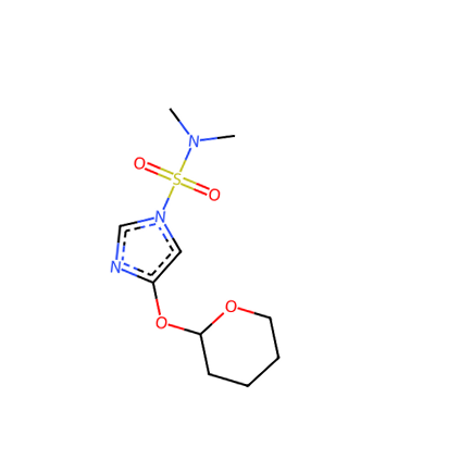 CN(C)S(=O)(=O)n1cnc(OC2CCCCO2)c1